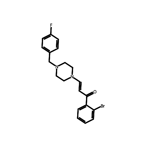 O=C(C=CN1CCN(Cc2ccc(F)cc2)CC1)c1ccccc1Br